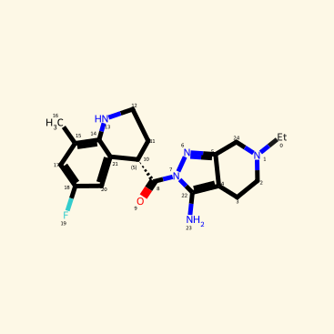 CCN1CCc2c(nn(C(=O)[C@H]3CCNc4c(C)cc(F)cc43)c2N)C1